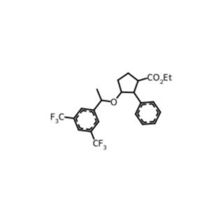 CCOC(=O)C1CCC(OC(C)c2cc(C(F)(F)F)cc(C(F)(F)F)c2)C1c1ccccc1